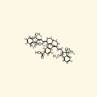 CN1/C(=C/C=C2\CCC3CCC(/C=C/C4=[N+](C)c5ccccc5C4(C)C)=C4C3=C2c2cc(C(=O)O)ccc24)C(C)(C)c2ccccc21